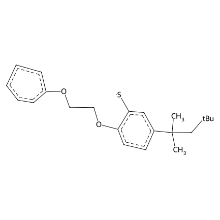 CC(C)(C)CC(C)(C)c1ccc(OCCOc2ccccc2)c([S])c1